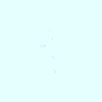 Fc1ccc2c(C3CCN(CCC4CCCN4)CC3)noc2c1